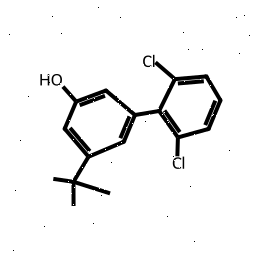 CC(C)(C)c1cc(O)cc(-c2c(Cl)cccc2Cl)c1